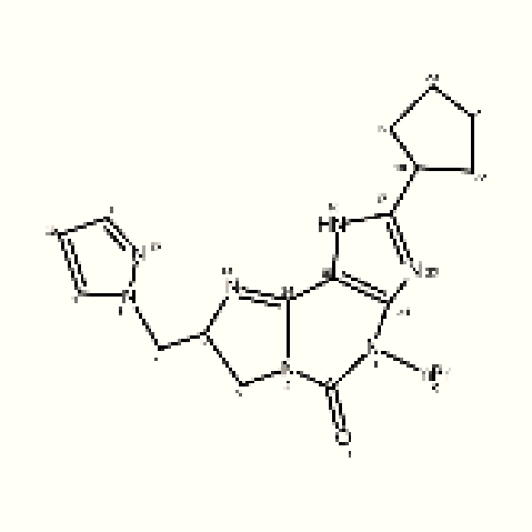 CCCN1C(=O)N2CC(Cn3cccn3)N=C2c2[nH]c(C3CCCC3)nc21